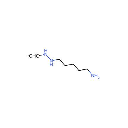 NCCCCCNN[C]=O